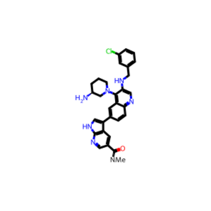 CNC(=O)c1cnc2[nH]cc(-c3ccc4ncc(NCc5cccc(Cl)c5)c(N5CCC[C@H](N)C5)c4c3)c2c1